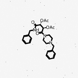 CC(=O)O[C@@H](C(=O)NCc1ccccc1)[C@@H](OC(C)=O)C(=O)N1CCN(Cc2ccccc2)CC1